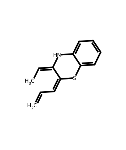 C=C/C=C1/Sc2ccccc2N/C1=C/C